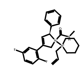 C=CC[N+]1([N+]2(C(=O)NC)CC(c3cc(F)ccc3F)=C[C@H]2c2ccccc2)CCCCC1